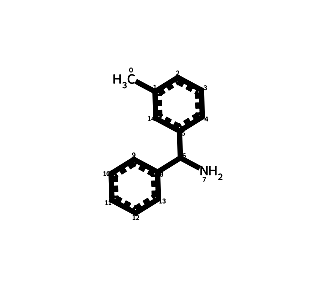 Cc1cccc(C(N)c2ccccc2)c1